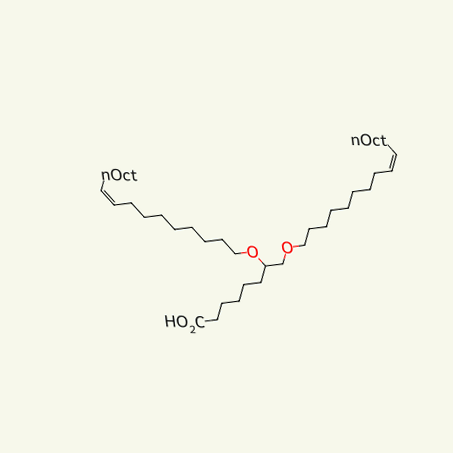 CCCCCCCC/C=C\CCCCCCCCOCC(CCCCCC(=O)O)OCCCCCCCC/C=C\CCCCCCCC